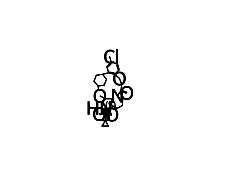 O=C1COc2ccc(Cl)cc2C2CCC(CC2)OCC2[C@@H](NS(=O)(=O)C3CC3)CCCN12